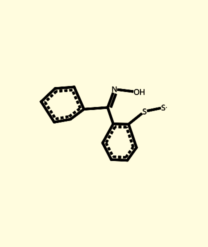 ON=C(c1ccccc1)c1ccccc1S[S]